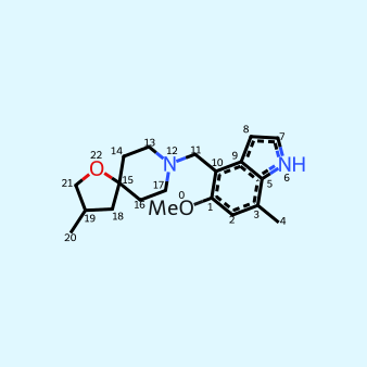 COc1cc(C)c2[nH]ccc2c1CN1CCC2(CC1)CC(C)CO2